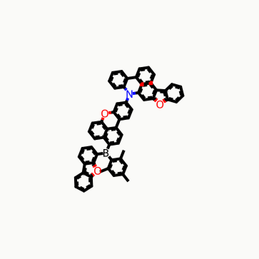 Cc1cc(C)c(B(c2ccc3c4c(cccc24)Oc2cc(N(c4ccc5c(c4)oc4ccccc45)c4ccccc4-c4ccccc4)ccc2-3)c2cccc3c2oc2ccccc23)c(C)c1